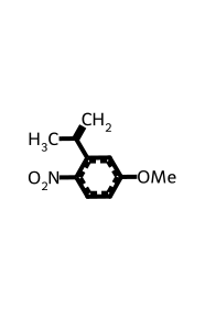 C=C(C)c1cc(OC)ccc1[N+](=O)[O-]